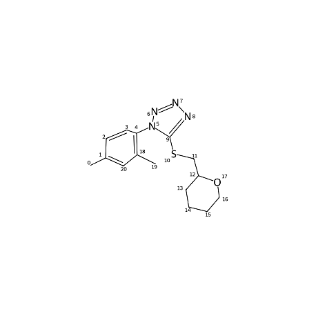 Cc1ccc(-n2nnnc2SCC2CCCCO2)c(C)c1